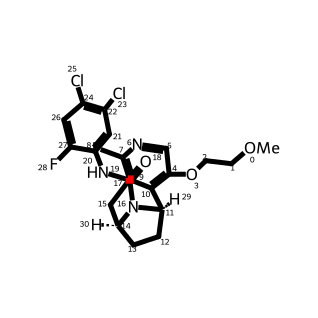 COCCOc1cnc(F)c2c1[C@H]1CC[C@@H](C2)N1C(=O)Nc1cc(Cl)c(Cl)cc1F